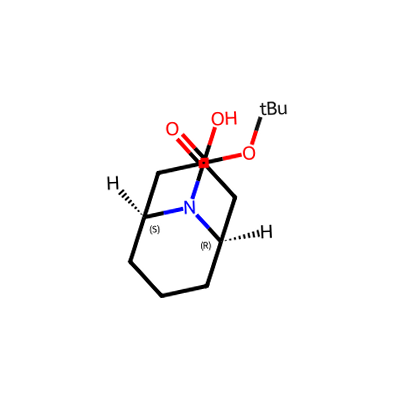 CC(C)(C)OC(=O)N1[C@@H]2CCC[C@H]1CC(O)C2